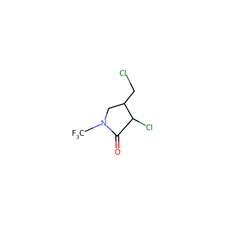 O=C1C(Cl)C(CCl)CN1C(F)(F)F